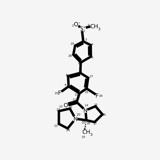 C[S+]([O-])c1ccc(-c2cc(F)c(C(=O)N3CCC[C@@]3(C)N3CCCC3)c(F)c2)cc1